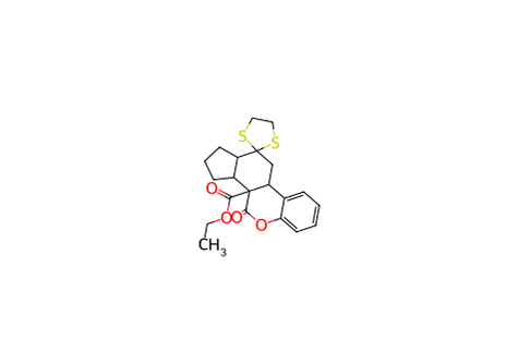 CCOC(=O)C12C(=O)Oc3ccccc3C1CC1(SCCS1)C1CCCC12